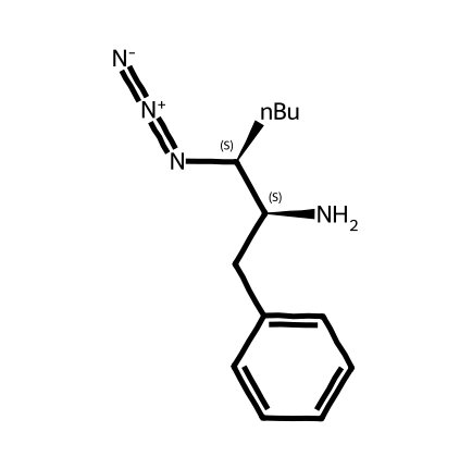 CCCC[C@H](N=[N+]=[N-])[C@@H](N)Cc1ccccc1